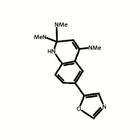 CNC1=CC(NC)(NC)Nc2ccc(-c3cnco3)cc21